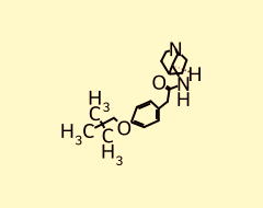 CC(C)(C)COc1ccc(CC(=O)N[C@@H]2CN3CCC2CC3)cc1